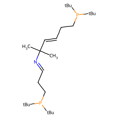 CC(C)(C=CCCP(C(C)(C)C)C(C)(C)C)N=CCCP(C(C)(C)C)C(C)(C)C